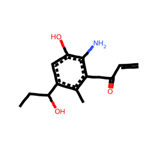 C=CC(=O)c1c(C)c(C(O)CC)cc(O)c1N